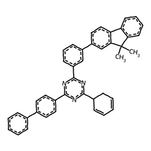 CC1(C)c2ccccc2-c2ccc(-c3cccc(-c4nc(-c5ccc(-c6ccccc6)cc5)nc(C5C=CC=CC5)n4)c3)cc21